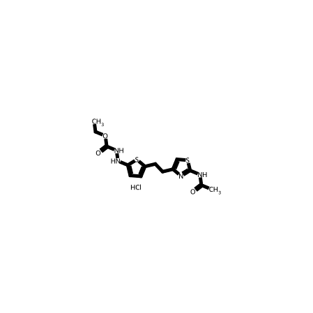 CCOC(=O)NNc1ccc(CCc2csc(NC(C)=O)n2)s1.Cl